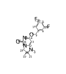 CN1c2cc(OCc3cc(F)cc(F)c3)nc(=O)n2CC1(C)C